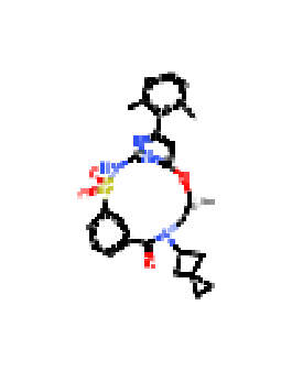 Cc1cccc(C)c1-c1cc2nc(n1)NS(=O)(=O)c1cccc(c1)C(=O)N(C1CC3(CC3)C1)C[C@@H](C)O2